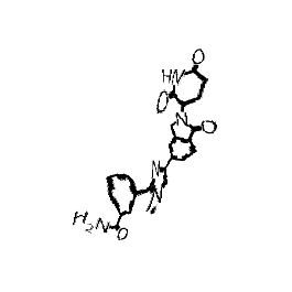 Cn1cc(-c2ccc3c(c2)CN(C2CCC(=O)NC2=O)C3=O)nc1-c1cccc(C(N)=O)c1